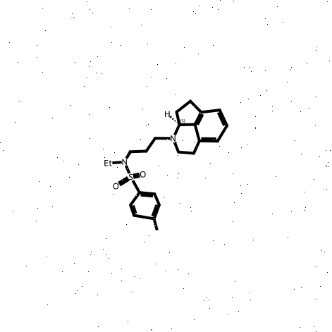 CCN(CCCN1CCc2cccc3c2[C@@H]1CC3)S(=O)(=O)c1ccc(C)cc1